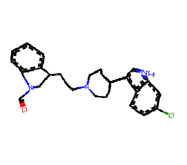 O=CN1CC(CCN2CCC(c3c[nH]c4cc(Cl)ccc34)CC2)c2ccccc21